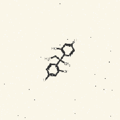 CCC(C)(c1ccc(Cl)cc1O)c1ccc(Cl)cc1O